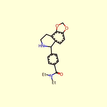 CCN(CC)C(=O)c1ccc(C2NCCc3c2ccc2c3OCO2)cc1